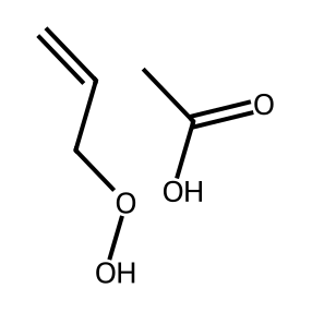 C=CCOO.CC(=O)O